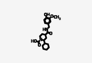 COc1cc(CNC(=O)C2CCN(C(=O)O)C(C3CCCCC3)C2)ccc1O